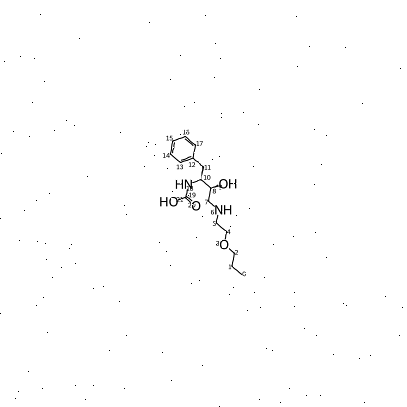 CCCOCCNC[C@H](O)[C@H](Cc1ccccc1)NC(=O)O